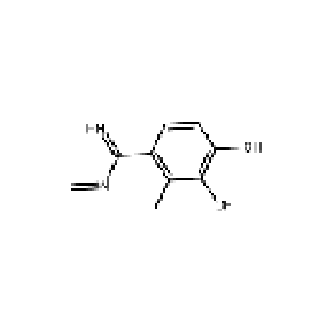 C=NC(=N)c1ccc(O)c(O)c1C